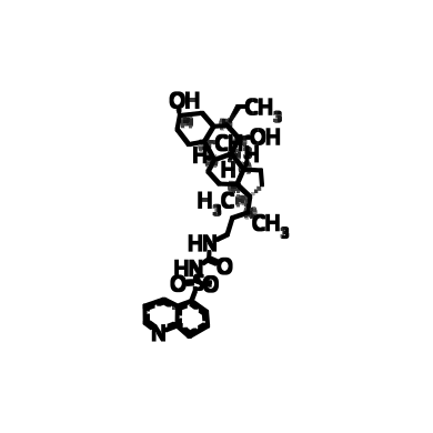 CC[C@@H]1C2C[C@H](O)CC[C@]2(C)[C@H]2CC[C@]3(C)[C@@H]([C@H](C)CCNC(=O)NS(=O)(=O)c4cccc5ncccc45)CC[C@H]3[C@@H]2[C@@H]1O